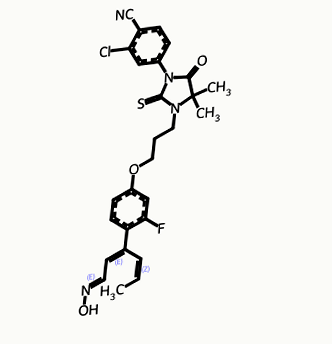 C\C=C/C(=C\C=N\O)c1ccc(OCCCN2C(=S)N(c3ccc(C#N)c(Cl)c3)C(=O)C2(C)C)cc1F